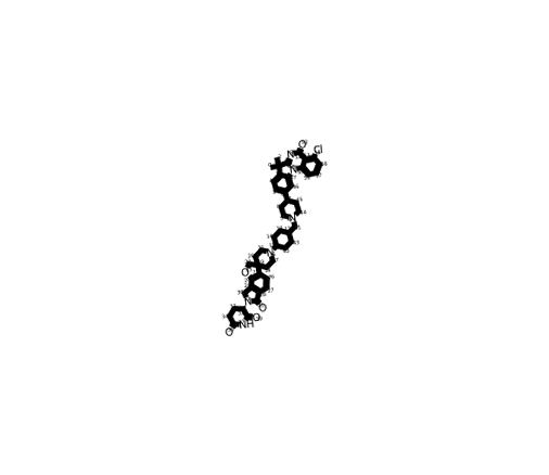 CC1(C)c2ccc(C3CCN(CC4CCC(N5CCC6(CC5)COc5c6ccc6c5CN([C@H]5CCC(=O)NC5=O)C6=O)CC4)CC3)cc2-n2c1nc(=O)c1c(Cl)cccc12